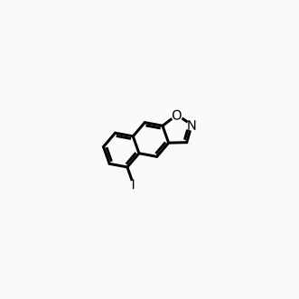 Ic1cccc2cc3oncc3cc12